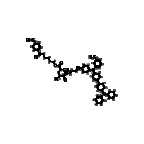 CCC(CC(C)C(=O)OCCCCCN(CC)c1ccc(C=O)cc1)C(=O)OCCCOc1ccc(N(c2ccc(-c3ccc(N(c4ccccc4)c4ccccc4)cc3)cc2)c2cccc(C)c2)cc1